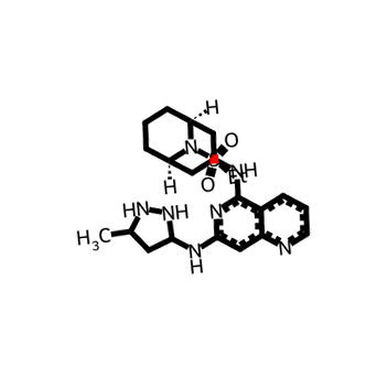 CCS(=O)(=O)N1[C@@H]2CCC[C@H]1CC(Nc1nc(NC3CC(C)NN3)cc3ncccc13)C2